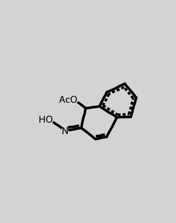 CC(=O)OC1/C(=N\O)C=Cc2ccccc21